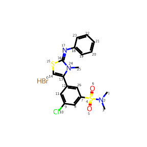 Br.CN(C)S(=O)(=O)c1cc(Cl)cc(-c2csc(=Nc3ccccc3)n2C)c1